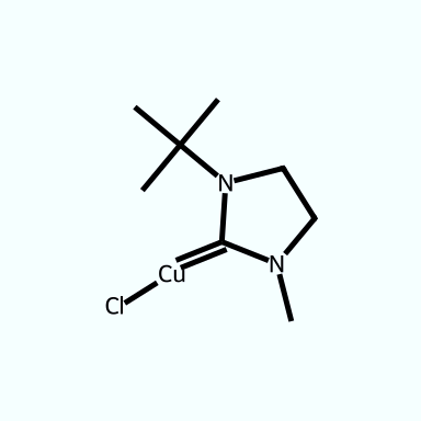 CN1CCN(C(C)(C)C)[C]1=[Cu][Cl]